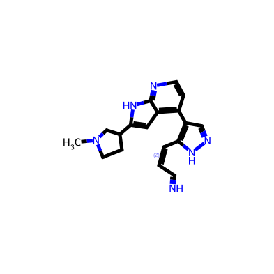 CN1CCC(c2cc3c(-c4cn[nH]c4/C=C\C=N)ccnc3[nH]2)C1